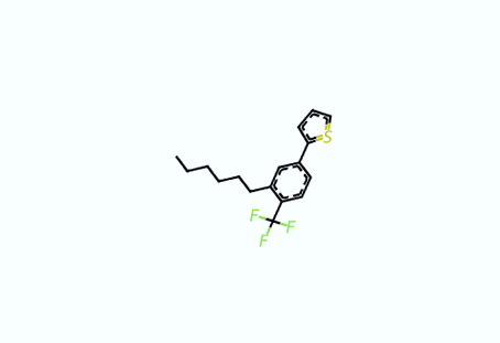 CCCCCCc1cc(-c2cccs2)ccc1C(F)(F)F